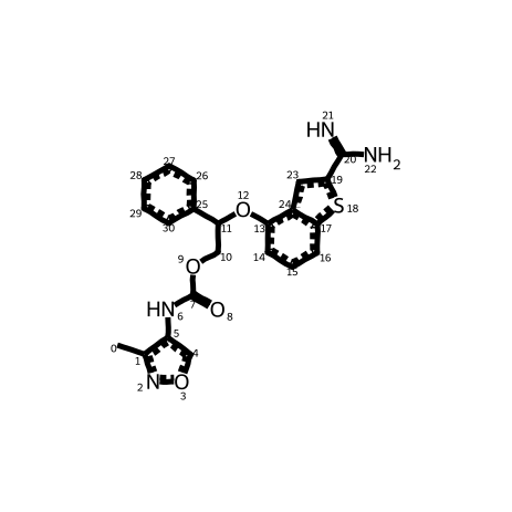 Cc1nocc1NC(=O)OCC(Oc1cccc2sc(C(=N)N)cc12)c1ccccc1